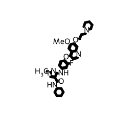 COc1cc2c(Oc3ccc(Nc4nn(C)cc4C(=O)NC4CCCCC4)cc3F)ccnc2cc1OCCCN1CCCCC1